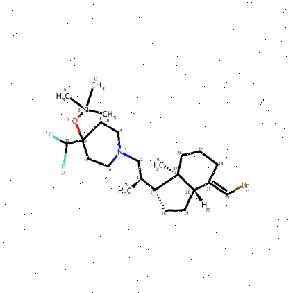 C[C@@H](CN1CCC(O[Si](C)(C)C)(C(F)F)CC1)[C@H]1CC[C@H]2/C(=C/Br)CCC[C@]12C